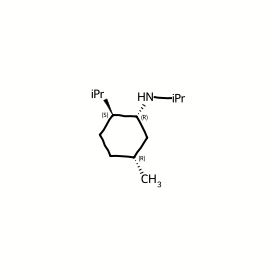 CC(C)N[C@@H]1C[C@H](C)CC[C@H]1C(C)C